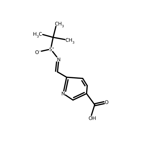 CC(C)(C)[S+]([O-])N=Cc1ccc(C(=O)O)cn1